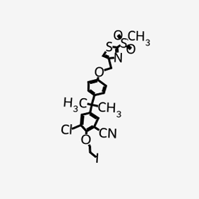 CC(C)(c1ccc(OCc2csc(S(C)(=O)=O)n2)cc1)c1cc(Cl)c(OCCI)c(C#N)c1